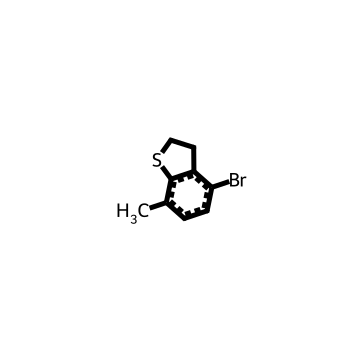 Cc1ccc(Br)c2c1SCC2